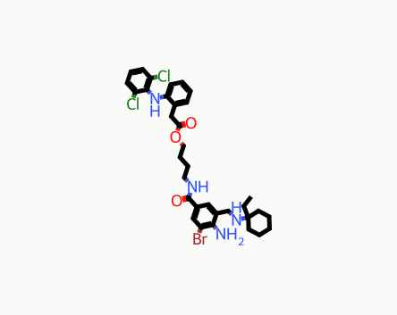 CCC1(NCc2cc(C(=O)NCCCCOC(=O)Cc3ccccc3Nc3c(Cl)cccc3Cl)cc(Br)c2N)CCCCC1